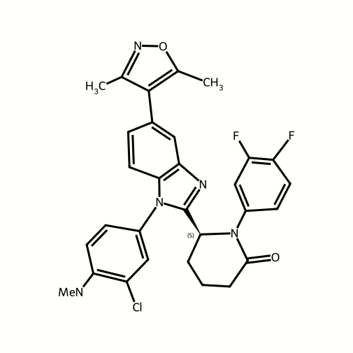 CNc1ccc(-n2c([C@@H]3CCCC(=O)N3c3ccc(F)c(F)c3)nc3cc(-c4c(C)noc4C)ccc32)cc1Cl